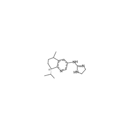 CC1CC[C@@H](C(C)C)c2ncc(NC3=NCCN3)cc21